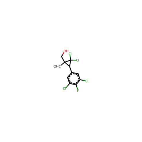 O=CC1(CO)C(c2cc(Cl)c(F)c(Cl)c2)C1(Cl)Cl